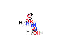 Cc1nc(C(=O)Nc2cnn(Cc3nc(C(C)(C)O)co3)n2)c(-c2cccc(OC(F)(F)F)c2)o1